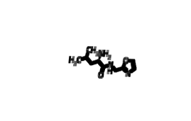 CC(C)C[C@H](N)C(=O)NCc1ncco1